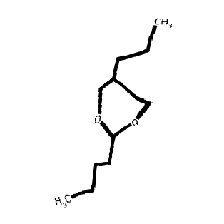 CCCCC1OCC(CCC)CO1